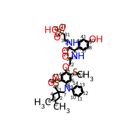 CCCC1(CCC)CN(c2ccccc2)c2cc(SC)c(OCC(=O)N[C@@H](C(=O)NCCS(=O)(=O)O)c3ccc(O)cc3)cc2S(=O)(=O)C1